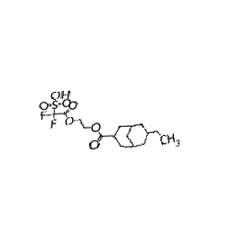 CCC1CC2CC(C1)CC(C(=O)OCCOC(=O)C(F)(F)S(=O)(=O)O)C2